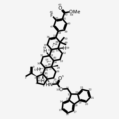 C=C(C)[C@@H]1CC[C@]2(NC(=O)OCC3c4ccccc4-c4ccccc43)CC[C@]3(C)[C@H](CC[C@@H]4[C@@]5(C)CC=C(c6ccc(C(=O)OC)c(F)c6)C(C)(C)[C@@H]5CC[C@]43C)[C@@H]12